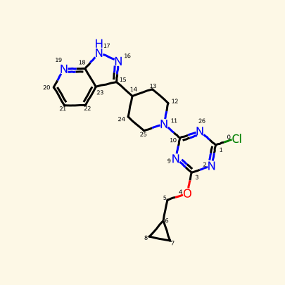 Clc1nc(OCC2CC2)nc(N2CCC(c3n[nH]c4ncccc34)CC2)n1